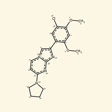 COc1cc(OC)c(-c2cn3ccc(N4CCCC4)nc3n2)cc1Cl